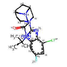 CC(C)(C)NC(=O)CN1C2CC1CN(c1nc3c(Cl)cc(F)cc3[nH]1)C2